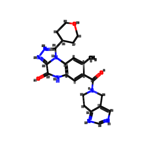 Cc1cc2c(cc1C(=O)N1CCc3ncncc3C1)[nH]c(=O)c1nnc(C3CCOCC3)n12